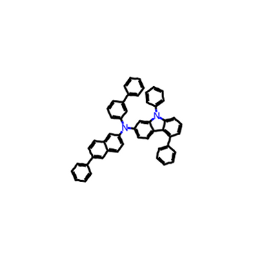 c1ccc(-c2cccc(N(c3ccc4cc(-c5ccccc5)ccc4c3)c3ccc4c5c(-c6ccccc6)cccc5n(-c5ccccc5)c4c3)c2)cc1